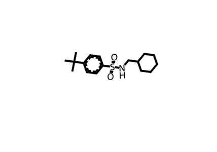 CC(C)(C)c1ccc(S(=O)(=O)NCC2CCCCC2)cc1